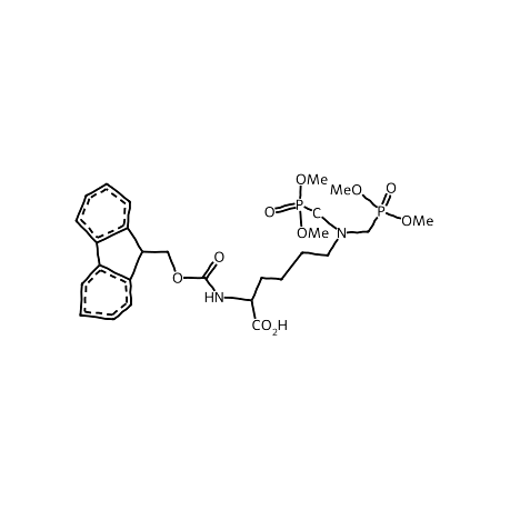 COP(=O)(CN(CCCCC(NC(=O)OCC1c2ccccc2-c2ccccc21)C(=O)O)CP(=O)(OC)OC)OC